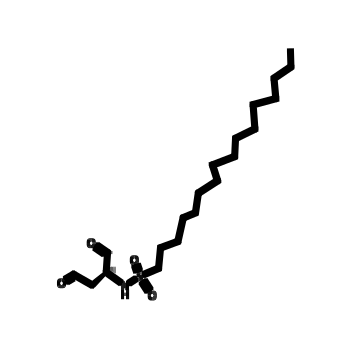 CCCCCCCCCCCCCCCCS(=O)(=O)N[C@H]([C]=O)C[C]=O